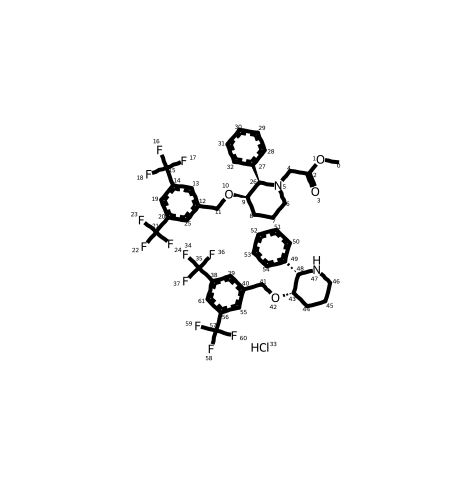 COC(=O)CN1CCC[C@@H](OCc2cc(C(F)(F)F)cc(C(F)(F)F)c2)[C@H]1c1ccccc1.Cl.FC(F)(F)c1cc(CO[C@H]2CCCN[C@H]2c2ccccc2)cc(C(F)(F)F)c1